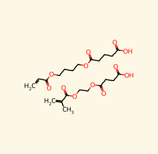 C=C(C)C(=O)OCCOC(=O)CCC(=O)O.C=CC(=O)OCCCCOC(=O)CCCC(=O)O